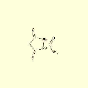 NC=O.O=C1C[N+](=O)NN1